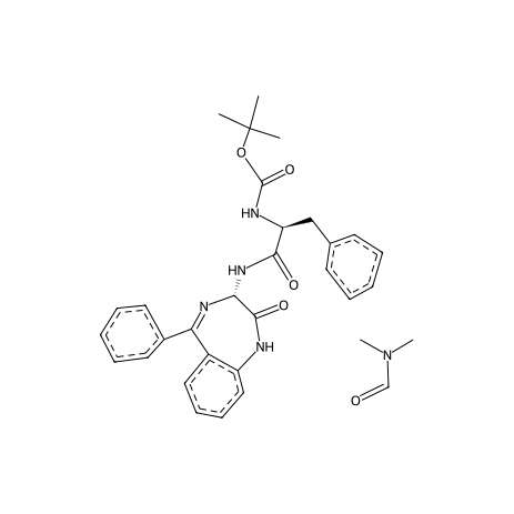 CC(C)(C)OC(=O)N[C@@H](Cc1ccccc1)C(=O)N[C@H]1N=C(c2ccccc2)c2ccccc2NC1=O.CN(C)C=O